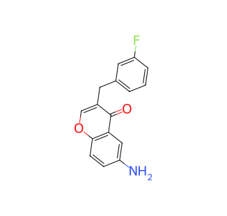 Nc1ccc2occ(Cc3cccc(F)c3)c(=O)c2c1